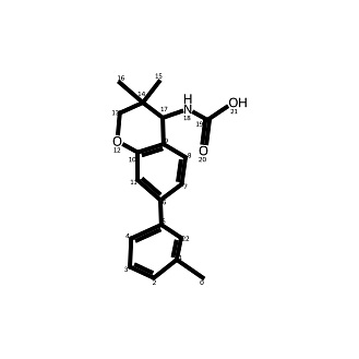 Cc1cccc(-c2ccc3c(c2)OCC(C)(C)C3NC(=O)O)c1